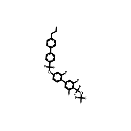 CCCc1ccc(-c2ccc(C(F)(F)Oc3ccc(-c4cc(F)c(C(F)(F)OC(F)(F)F)c(F)c4)c(F)c3)cc2)cc1